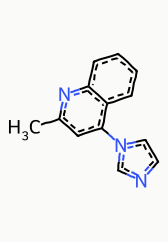 Cc1cc(-n2ccnc2)c2ccccc2n1